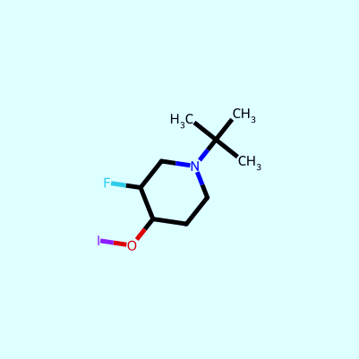 CC(C)(C)N1CCC(OI)C(F)C1